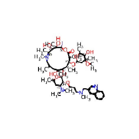 CO[C@]1(C)C[C@H](O[C@H]2[C@H](C)[C@@H](O[C@@H]3O[C@H](C)C[C@H](N(C)C)[C@H]3OCCCN(C)Cc3cnc4ccccc4c3)[C@](C)(O)C[C@@H](C)CN(C)[C@H](C)[C@@H](O)[C@](C)(O)[C@@H](I)OC(=O)[C@@H]2C)O[C@@H](C)[C@@H]1O